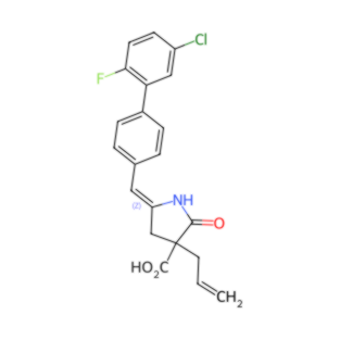 C=CCC1(C(=O)O)C/C(=C/c2ccc(-c3cc(Cl)ccc3F)cc2)NC1=O